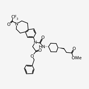 COC(=O)CC[C@H]1CC[C@H](NC(=O)N(CC(=O)OCc2ccccc2)c2ccc3c(c2)CCN(C(=O)C(F)(F)F)CC3)CC1